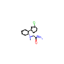 CN(CC(N)=O)c1ccccc1-c1cccc(Cl)c1